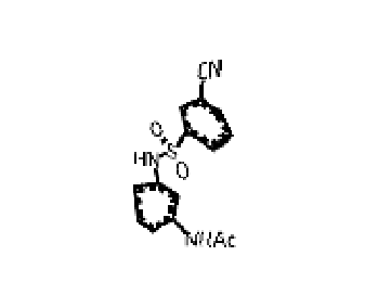 CC(=O)Nc1cccc(NS(=O)(=O)c2cccc(C#N)c2)c1